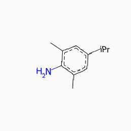 [CH2]C(C)c1cc(C)c(N)c(C)c1